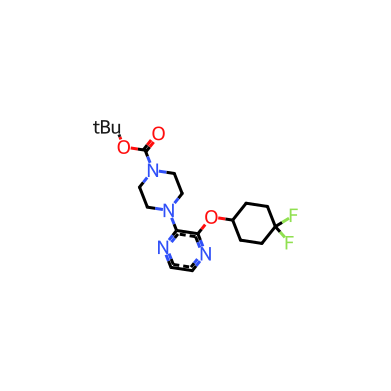 CC(C)(C)OC(=O)N1CCN(c2nccnc2OC2CCC(F)(F)CC2)CC1